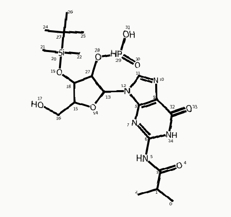 CC(C)C(=O)Nc1nc2c(ncn2C2OC(CO)C(O[Si](C)(C)C(C)(C)C)C2O[PH](=O)O)c(=O)[nH]1